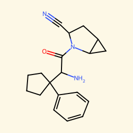 N#CC1CC2CC2N1C(=O)C(N)C1(c2ccccc2)CCCC1